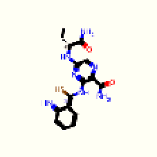 CC[C@@H](Nc1cnc(C(N)=O)c(N/C(S)=C2\C=CC=CC2=N)n1)C(N)=O